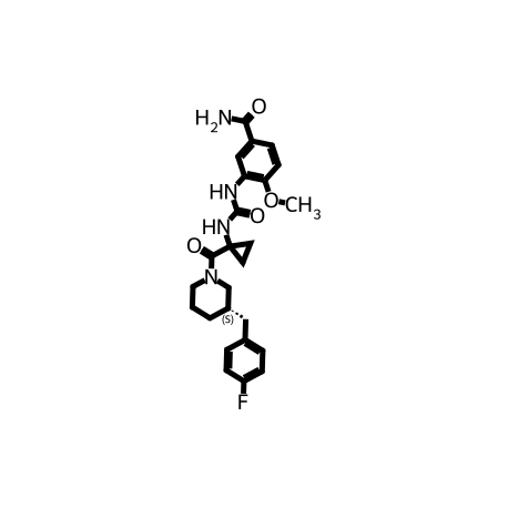 COc1ccc(C(N)=O)cc1NC(=O)NC1(C(=O)N2CCC[C@@H](Cc3ccc(F)cc3)C2)CC1